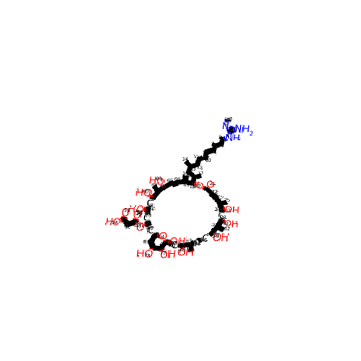 CN=C(N)NCCC/C=C/CCCC(C)CC(C)C1OC(=O)/C=C\C(C)C(O)CC(O)C(C)C(O)CCC(C)C(O)CC2(O)OC(CC(OC(=O)CC(=O)O)CC(O)CC(O)C(C)C(O)/C=C\C1C)CC(O)C2O